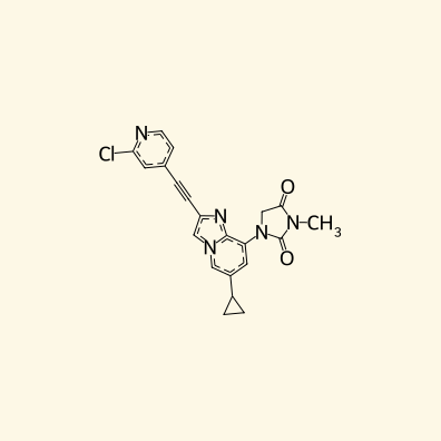 CN1C(=O)CN(c2cc(C3CC3)cn3cc(C#Cc4ccnc(Cl)c4)nc23)C1=O